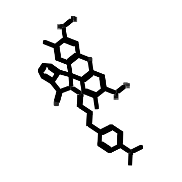 CCNc1cc2c(cc1C)C1(c3cc(C)c(NCC)cc3O2)c2ccccc2C(=O)N1/N=C/C=C/c1ccc(N(C)C)cc1